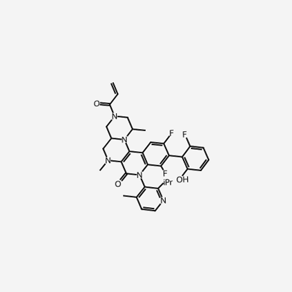 C=CC(=O)N1CC(C)N2c3c(c(=O)n(-c4c(C)ccnc4C(C)C)c4c(F)c(-c5c(O)cccc5F)c(F)cc34)N(C)CC2C1